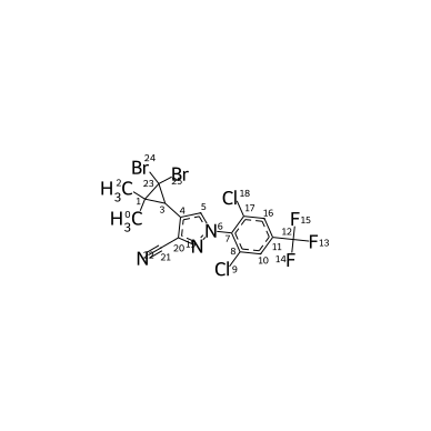 CC1(C)C(c2cn(-c3c(Cl)cc(C(F)(F)F)cc3Cl)nc2C#N)C1(Br)Br